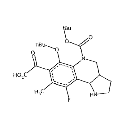 CCCCOc1c(C(=O)C(=O)O)c(C)c(F)c2c1N(C(=O)OC(C)(C)C)CC1CCNC21